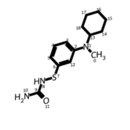 CN(c1cccc(SNC(N)=O)c1)C1CCCCC1